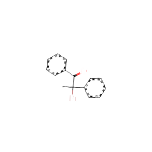 CC(Br)(C(=O)c1ccccc1)c1ccccc1